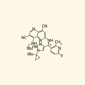 Cc1nc(F)ccc1[C@H](Nc1cc(C#N)c2ncc(C#N)c(NCC(C)(C)C)c2c1)C1=CN(C2(C(C)(C)C)CC2)NN1